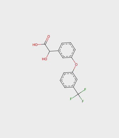 O=C(O)C(O)c1cccc(Oc2cccc(C(F)(F)F)c2)c1